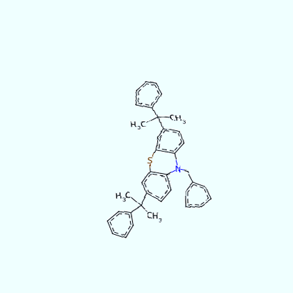 CC(C)(c1ccccc1)c1ccc2c(c1)Sc1cc(C(C)(C)c3ccccc3)ccc1N2Cc1ccccc1